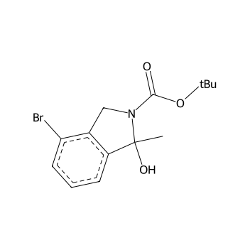 CC(C)(C)OC(=O)N1Cc2c(Br)cccc2C1(C)O